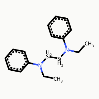 CCN([SiH2][SiH2]N(CC)c1ccccc1)c1ccccc1